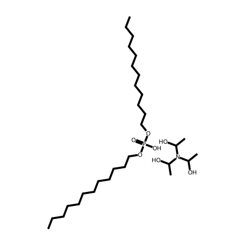 CC(O)N(C(C)O)C(C)O.CCCCCCCCCCCCOP(=O)(O)OCCCCCCCCCCCC